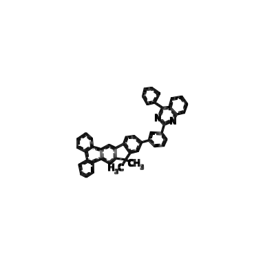 CC1(C)c2cc(-c3cccc(-c4nc(-c5ccccc5)c5ccccc5n4)c3)ccc2-c2cc3c4ccccc4c4ccccc4c3cc21